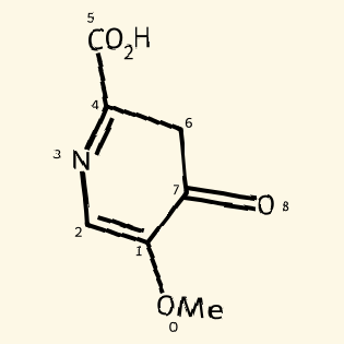 COC1=CN=C(C(=O)O)CC1=O